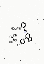 CCN1CCN(c2nc(/C=C/c3ccccc3OCCO)cc3ccoc23)CC1.O=C(O)C(=O)O